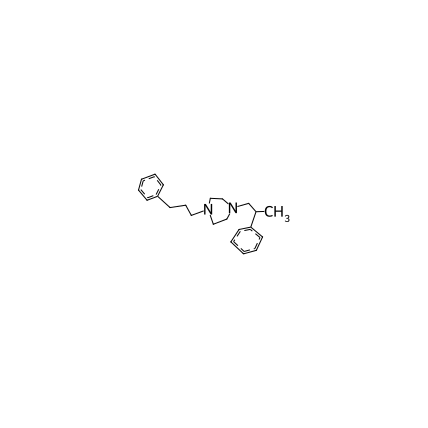 CC(CN1CCN(CCCc2ccccc2)CC1)c1ccccc1